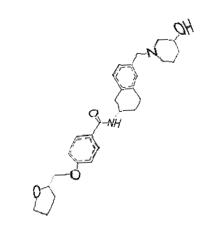 O=C(N[C@H]1CCc2cc(CN3CCCC(O)C3)ccc2C1)c1ccc(OC[C@@H]2CCCO2)cc1